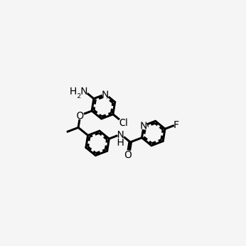 CC(Oc1cc(Cl)cnc1N)c1cccc(NC(=O)c2ccc(F)cn2)c1